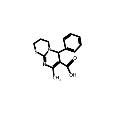 CC1=C(C(=O)O)C(c2ccccc2)N2CCCSC2=N1